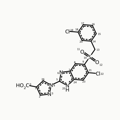 O=C(O)c1cnn(-c2nc3cc(S(=O)(=O)Cc4cccc(Cl)c4)c(Cl)cc3[nH]2)c1